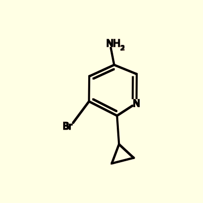 Nc1cnc(C2CC2)c(Br)c1